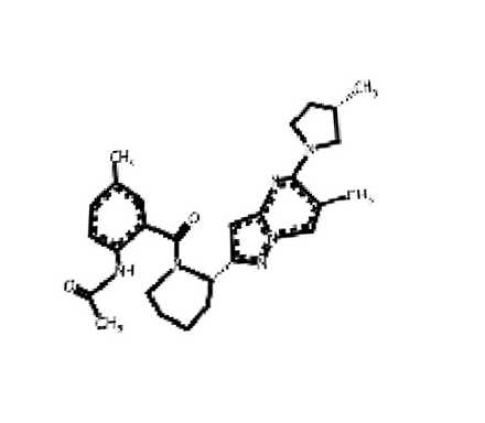 CC(=O)Nc1ccc(C)cc1C(=O)N1CCCC[C@H]1c1cc2nc(N3CC[C@H](C)C3)c(C)cn2n1